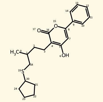 CC(CCc1c(O)cc(-c2ccccc2)oc1=O)CSC1CCCC1